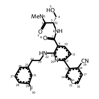 CNC(=O)[C@H](CO)NC(=O)c1ccc(-c2ccccc2C#N)nc1NCCc1cccc(F)c1